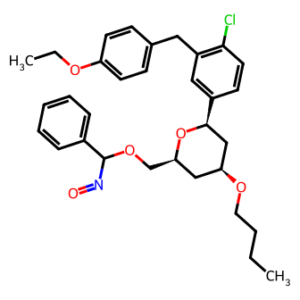 CCCCO[C@H]1C[C@@H](COC(N=O)c2ccccc2)O[C@@H](c2ccc(Cl)c(Cc3ccc(OCC)cc3)c2)C1